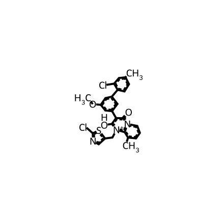 COc1cc(-c2ccc(C)cc2Cl)cc(-c2c(O)[n+](Cc3cnc(Cl)s3)c3c(C)cccn3c2=O)c1